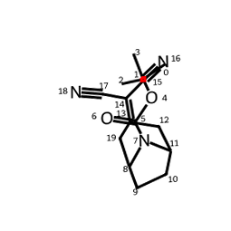 CC(C)(C)OC(=O)N1C2CCC1CC(=C(C#N)C#N)C2